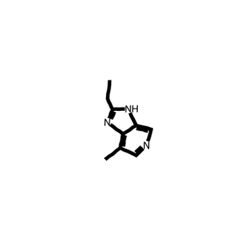 CCc1nc2c(C)cncc2[nH]1